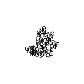 Cn1nc2c(c1CC(=O)/N=c1\scc(-c3ccc(F)c(C(F)(F)F)c3F)n1COP(=O)(OCn1c(-c3ccc(F)c(C(F)(F)F)c3F)cs/c1=N\C(=O)Cc1c3c(=O)n(C)c(=O)n(C)c3nn1C)OCn1c(-c3ccc(F)c(C(F)(F)F)c3F)cs/c1=N\C(=O)Cc1c3c(=O)n(C)c(=O)n(C)c3nn1C)c(=O)n(C)c(=O)n2C